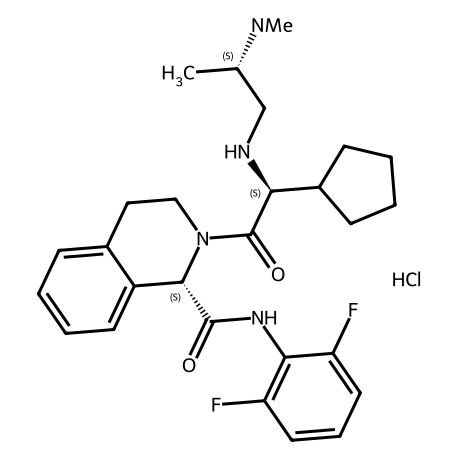 CN[C@@H](C)CN[C@H](C(=O)N1CCc2ccccc2[C@H]1C(=O)Nc1c(F)cccc1F)C1CCCC1.Cl